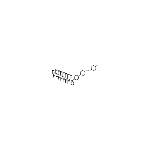 C[C@H]1CC[C@H](CC[C@H]2CC[C@H](c3ccc(C(=O)C(F)(F)C(F)(F)C(F)(F)C(F)(F)C(F)(F)C(F)(F)C(F)(F)F)cc3)CC2)CC1